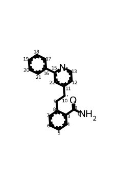 NC(=O)c1ccccc1C[CH]c1ccnc(-c2ccccc2)c1